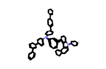 c1ccc(-c2ccc(-c3ccc(N(c4ccc(-c5cccc(-c6ccccc6)c5)cc4)c4cccc(-c5cccc6c5c5c7ccccc7ccc5n6-c5ccccc5)c4)cc3)cc2)cc1